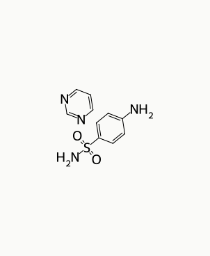 Nc1ccc(S(N)(=O)=O)cc1.c1cncnc1